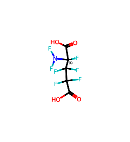 O=C(O)C(F)(F)C(F)(F)[C@@](F)(C(=O)O)N(F)F